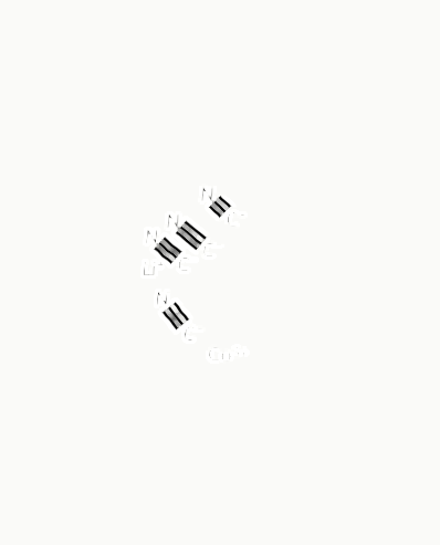 [C-]#N.[C-]#N.[C-]#N.[C-]#N.[Co+3].[Li+]